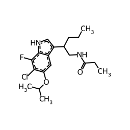 CCCC(CNC(=O)CC)c1c[nH]c2c(F)c(Cl)c(OC(C)C)cc12